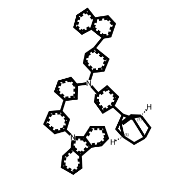 C1=C[C@H]2CC3C[C@H]1CC(c1ccc(N(c4ccc(-c5cccc6ccccc56)cc4)c4cccc(-c5cccc(-n6c7ccccc7c7ccccc76)c5)c4)cc1)(C3)C2